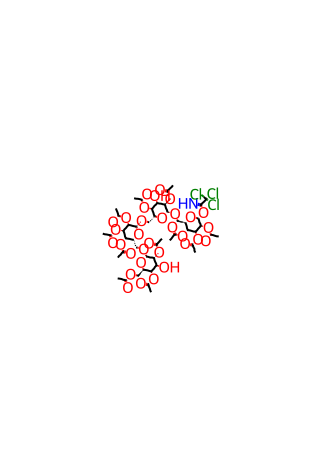 CC(=O)OC[C@H]1O[C@@H](OC[C@H]2O[C@@H](OC[C@H]3O[C@@H](OC[C@H]4OC(OC(=N)C(Cl)(Cl)Cl)[C@H](OC(C)=O)[C@@H](OC(C)=O)[C@@H]4OC(C)=O)[C@H](OC(C)=O)[C@@H](O)[C@@H]3OC(C)=O)[C@H](OC(C)=O)[C@@H](OC(C)=O)[C@@H]2OC(C)=O)[C@H](OC(C)=O)[C@@H](O)[C@@H]1OC(C)=O